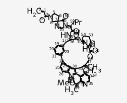 C=CC(=O)N1CCC2(C1)N=CN([C@H](C(=O)N[C@H]1Cc3cccc(c3)-c3ccc4c(c3)c(c(-c3cccnc3[C@H](C)OC)n4CC)CC(C)(C)COC(=O)[C@@H]3CCCN(N3)C1=O)C(C)C)C2=O